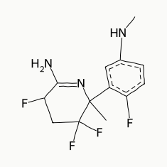 CNc1ccc(F)c(C2(C)N=C(N)C(F)CC2(F)F)c1